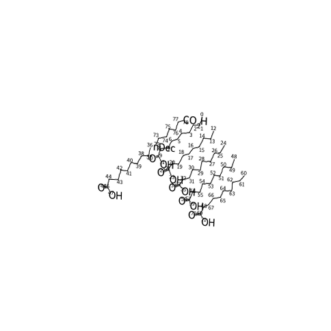 CCCCCCCCCC(=O)O.CCCCCCCCCC(=O)O.CCCCCCCCCC(=O)O.CCCCCCCCCC(=O)O.CCCCCCCCCC(=O)O.CCCCCCCCCC(=O)O.CCCCCCCCCCCCCCCC(=O)O